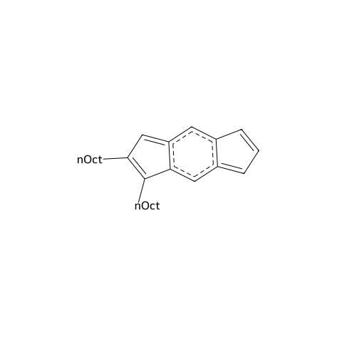 CCCCCCCCC1=C(CCCCCCCC)c2cc3c(cc2=C1)C=CC=3